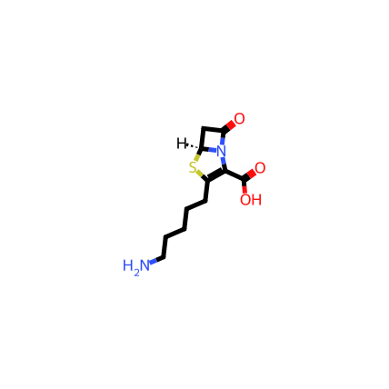 NCCCCCC1=C(C(=O)O)N2C(=O)C[C@@H]2S1